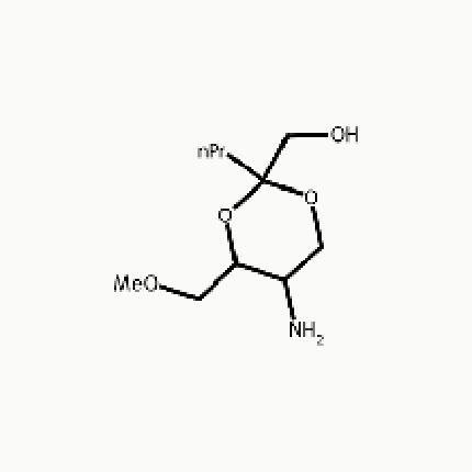 CCCC1(CO)OCC(N)C(COC)O1